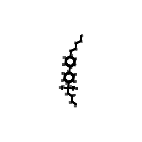 CCCCCc1ccc(-c2ccc(C(F)(F)CCCC)cc2)cc1